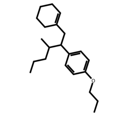 CCCOc1ccc(C(CC2=CCCCC2)C(C)CCC)cc1